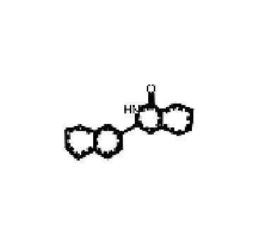 O=c1[nH]c(-c2ccc3ccccc3c2)cc2ccccc12